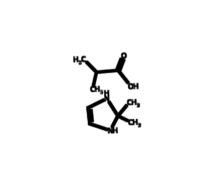 CC(C)C(=O)O.CC1(C)NC=CN1